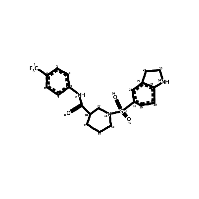 O=C(Nc1ccc(C(F)(F)F)cc1)C1CCCN(S(=O)(=O)c2ccc3c(c2)CCN3)C1